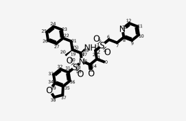 CC(CS(=O)(=O)CCc1ccccn1)C(=O)N([C@H](N)[C@@H](C)Cc1ccccc1)S(=O)(=O)c1ccc2c(c1)CCO2